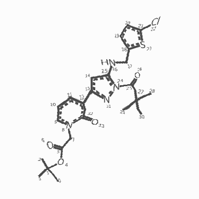 CC(C)(C)OC(=O)Cn1cccc(-c2cc(NCc3ccc(Cl)s3)n(C(=O)C(C)(C)C)n2)c1=O